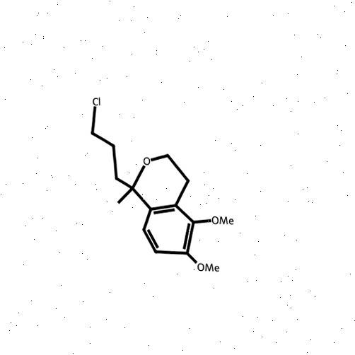 COc1ccc2c(c1OC)CCOC2(C)CCCCl